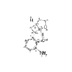 Nc1cccn([C@@H]2C[C@H]3CCO[C@H]32)c1=O